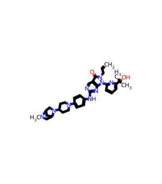 C=CCn1c(=O)c2cnc(Nc3ccc(N4CCC(N5CC6CC5CN6C)CC4)cc3)nc2n1-c1cccc(C(C)(C)O)n1